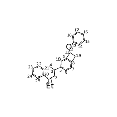 CCC(CC(C)c1ccc2c(c1)C(Oc1ccccc1)C2)c1ccccc1